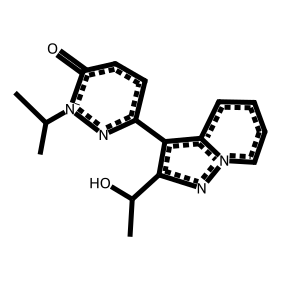 CC(O)c1nn2ccccc2c1-c1ccc(=O)n(C(C)C)n1